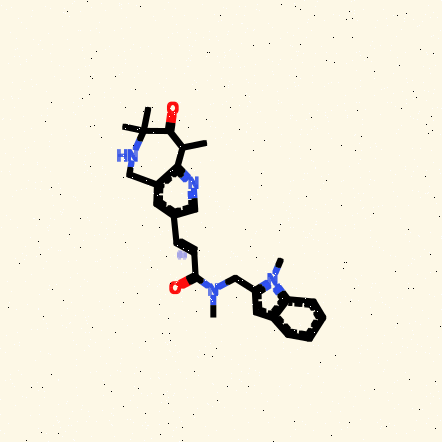 CC1C(=O)C(C)(C)NCc2cc(/C=C/C(=O)N(C)Cc3cc4ccccc4n3C)cnc21